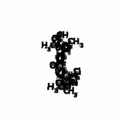 Cc1ccc(-c2ccc(C(=O)N3CCC(N4C(=O)C(C)(C)Oc5ncc(Cl)cc54)CC3)c(F)c2)c(O[C@H](C)CC(=O)O)c1